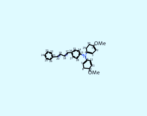 COC1=CC=C(N(C2=CCC(OC)C=C2)c2ccc(/C=C/C=C/c3ccccc3)cc2)CC1